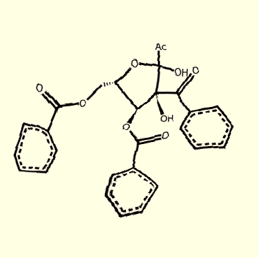 CC(=O)C1(O)O[C@@H](COC(=O)c2ccccc2)[C@H](OC(=O)c2ccccc2)[C@@]1(O)C(=O)c1ccccc1